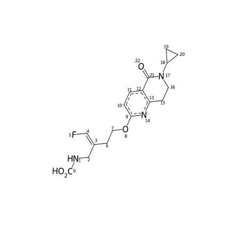 O=C(O)NCC(=CF)CCOc1ccc2c(n1)CCN(C1CC1)C2=O